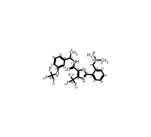 CC(NC(=O)c1sc(-c2ccccc2CN(C)C)nc1C(F)(F)F)c1cccc(OC(F)(F)F)c1